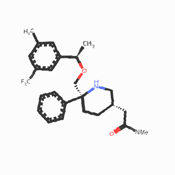 CNC(=O)C[C@@H]1CC[C@@](CO[C@H](C)c2cc(C)cc(C(F)(F)F)c2)(c2ccccc2)NC1